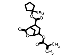 C=C(C)C(=O)OC1CC(C(=O)OC2(C(C)(C)C)CCCC2)C2CC1OC2=O